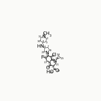 CN1CCC(NC2CCN(c3c(F)cc4c(=O)c(C(=O)O)cn(C5CC5)c4c3Cl)C2)CC1